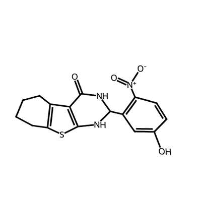 O=C1NC(c2cc(O)ccc2[N+](=O)[O-])Nc2sc3c(c21)CCCC3